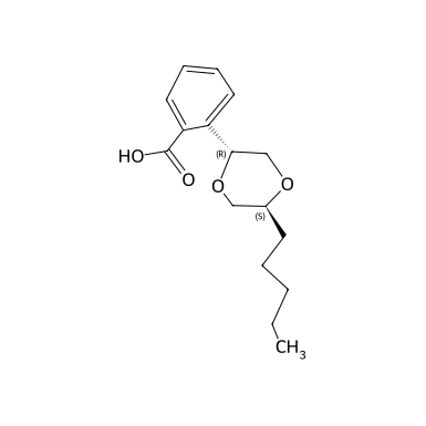 CCCCC[C@H]1CO[C@H](c2ccccc2C(=O)O)CO1